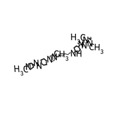 Cn1cc[n+](C)c1/N=N/c1ccc(NCCCCCC[N+]2(C)CCN(c3ccc(/N=N/c4cc[n+](C)cc4)cc3)CC2)cc1